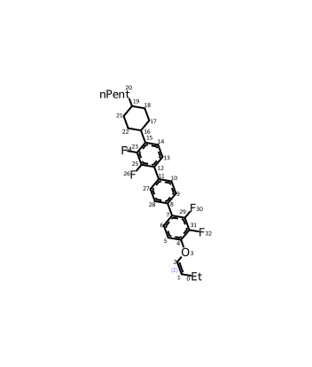 CC/C=C\Oc1ccc(-c2ccc(-c3ccc(C4CCC(CCCCC)CC4)c(F)c3F)cc2)c(F)c1F